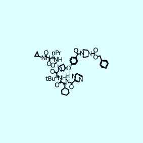 CCC[C@H](NC(=O)[C@@H]1C[C@@H](Oc2ccc(C(=O)N3CCN(C(=O)OCc4ccccc4)CC3)cc2)CN1C(=O)[C@@H](NC(=O)[C@@H](NC(=O)c1cnccn1)C1CCCCC1)C(C)(C)C)C(=O)C(=O)NC1CC1